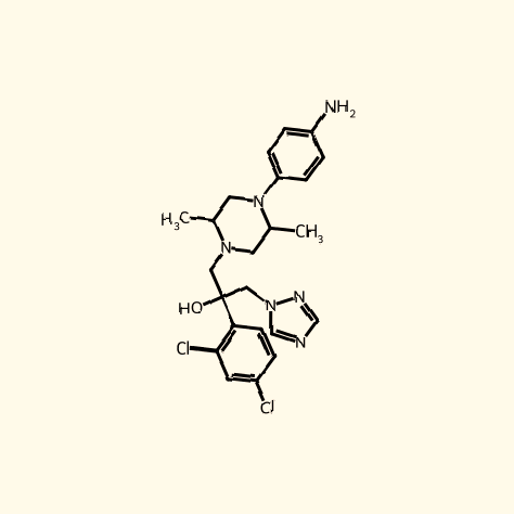 CC1CN(c2ccc(N)cc2)C(C)CN1CC(O)(Cn1cncn1)c1ccc(Cl)cc1Cl